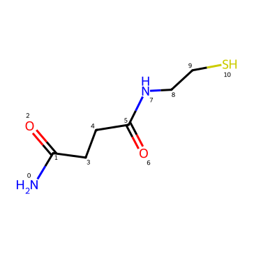 NC(=O)CCC(=O)NCCS